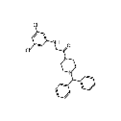 O=C(CNc1cc(Cl)cc(Cl)c1)N1CCN(C(c2ccccc2)c2ccccc2)CC1